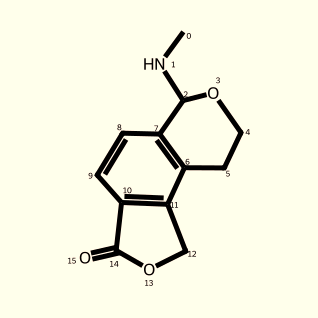 CNC1OCCc2c1ccc1c2COC1=O